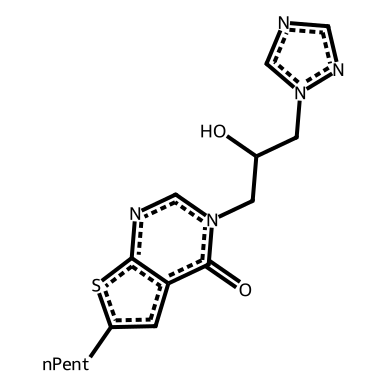 CCCCCc1cc2c(=O)n(CC(O)Cn3cncn3)cnc2s1